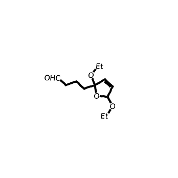 CCOC1C=CC(CCCC=O)(OCC)O1